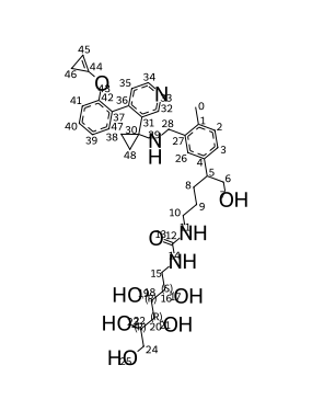 Cc1ccc(C(CO)CCCNC(=O)NC[C@H](O)[C@@H](O)[C@H](O)[C@H](O)CO)cc1CNC1(c2cnccc2-c2ccccc2OC2=CC2)CC1